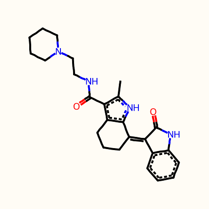 Cc1[nH]c2c(c1C(=O)NCCN1CCCCC1)CCC/C2=C1/C(=O)Nc2ccccc21